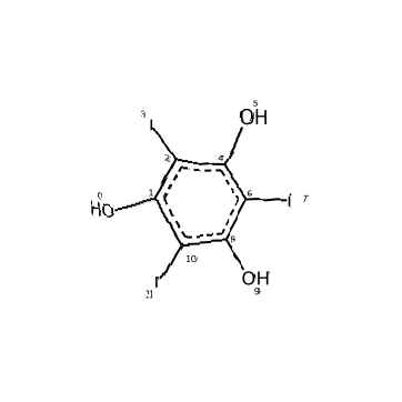 Oc1c(I)c(O)c(I)c(O)c1I